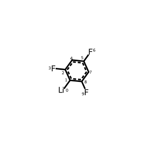 [Li][c]1c(F)cc(F)cc1F